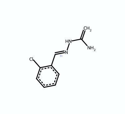 C=C(N)N/N=C/c1ccccc1Cl